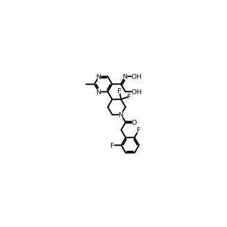 Cc1ncc(C(CO)=NO)c(C2CCN(C(=O)Cc3c(F)cccc3F)CC2(F)F)n1